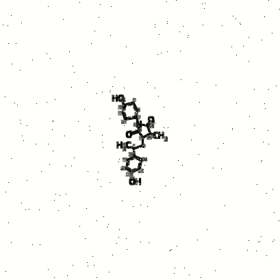 CC(CC1C(=O)N(c2ccc(O)cc2)C(=O)C1C)c1ccc(O)cc1